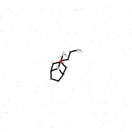 CCCCN1C2CCC1CC(C)C2